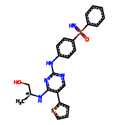 C[C@H](CO)Nc1nc(Nc2ccc(S(=N)(=O)c3ccccc3)cc2)ncc1-c1cccs1